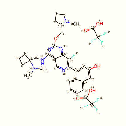 CN1CCC[C@H]1COc1nc(NCC2(N(C)C)CCC2)c2cnc(-c3cc(O)cc4ccccc34)c(F)c2n1.O=C(O)C(F)(F)F.O=C(O)C(F)(F)F